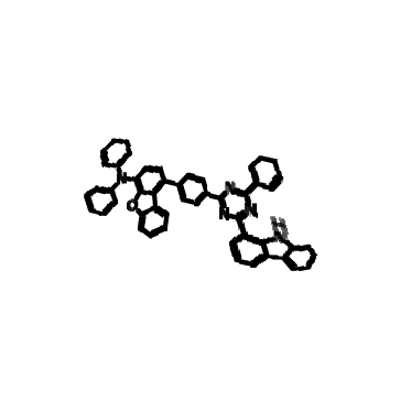 C1=CC(c2nc(-c3ccc(-c4ccc(N(C5=CCCC=C5)c5ccccc5)c5oc6ccccc6c45)cc3)nc(-c3cccc4c3[nH]c3ccccc34)n2)=CCC1